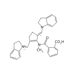 CN(C(=O)c1ccccc1C(=O)O)C1=C(/C=[N+]2\CCc3ccccc32)CC/C1=C\N1CCc2ccccc21